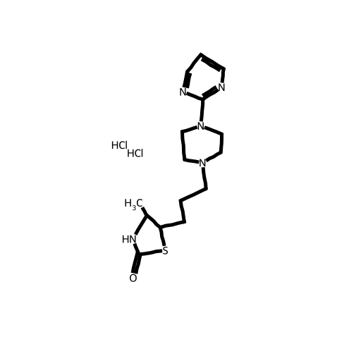 CC1NC(=O)SC1CCCN1CCN(c2ncccn2)CC1.Cl.Cl